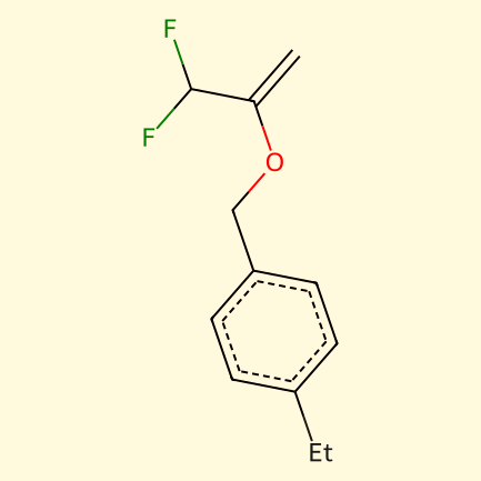 C=C(OCc1ccc(CC)cc1)C(F)F